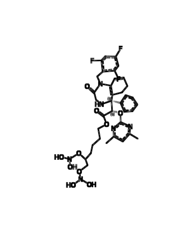 Cc1cc(C)nc(O[C@H](C(=O)OCCCCC(CON(O)O)ON(O)O)[C@@]2(c3ccccc3)NCC(=O)N(Cc3c(F)cc(F)cc3F)C3=C2CCC=C3)n1